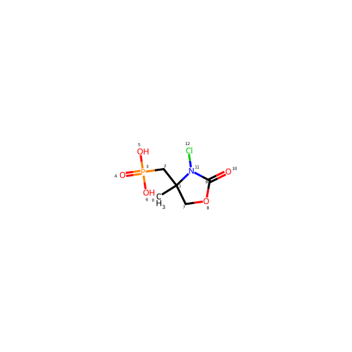 CC1(CP(=O)(O)O)COC(=O)N1Cl